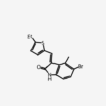 CCc1ccc(C=C2C(=O)Nc3ccc(Br)c(C)c32)s1